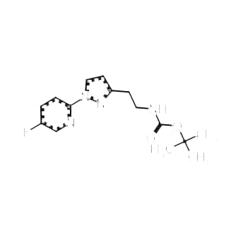 CC(C)(C)OC(=O)NCCc1ccn(-c2ccc(F)cn2)n1